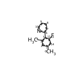 Cc1cc(C)c(-c2ccccn2)c(F)c1